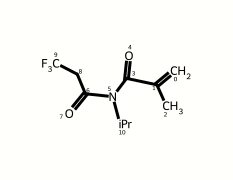 C=C(C)C(=O)N(C(=O)CC(F)(F)F)C(C)C